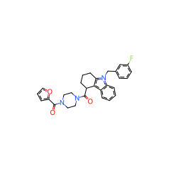 O=C(c1ccco1)N1CCN(C(=O)C2CCCc3c2c2ccccc2n3Cc2cccc(F)c2)CC1